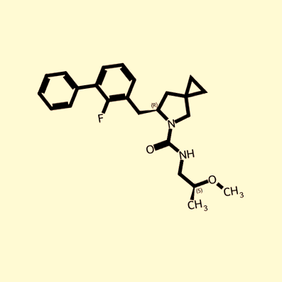 CO[C@@H](C)CNC(=O)N1CC2(CC2)C[C@@H]1Cc1cccc(-c2ccccc2)c1F